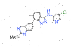 CNc1ncc2cc(-c3c(C)ccc4c(Nc5cncc(Cl)c5)nn(C)c34)ccc2n1